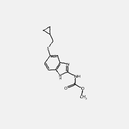 COC(=O)Nc1nc2cc(SCC3CC3)ccc2[nH]1